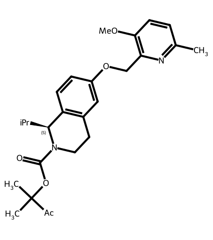 COc1ccc(C)nc1COc1ccc2c(c1)CCN(C(=O)OC(C)(C)C(C)=O)[C@H]2C(C)C